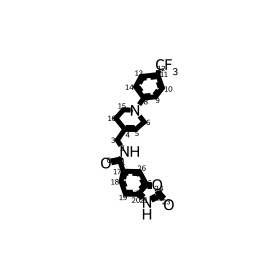 O=C(NCC1=CCN(c2ccc(C(F)(F)F)cc2)CC1)c1ccc2[nH]c(=O)oc2c1